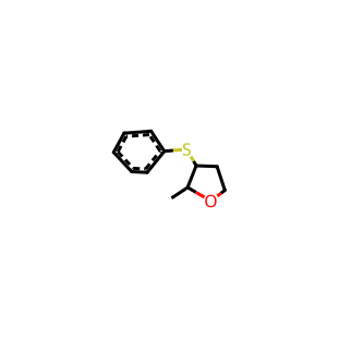 CC1OCCC1Sc1ccccc1